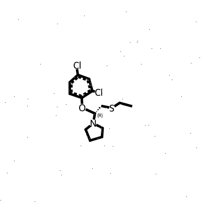 CCSC[C@@H](Oc1ccc(Cl)cc1Cl)N1CCCC1